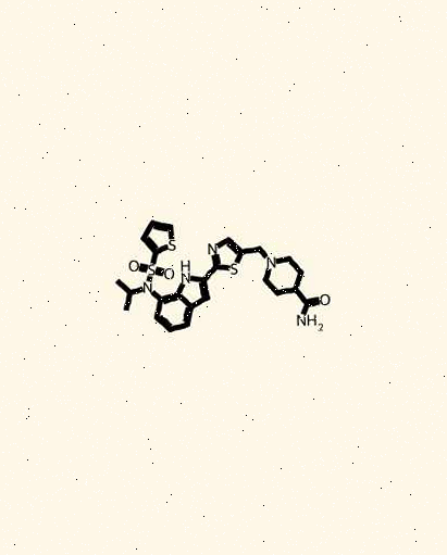 CC(C)N(c1cccc2cc(-c3ncc(CN4CCC(C(N)=O)CC4)s3)[nH]c12)S(=O)(=O)c1cccs1